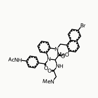 CNCC(=O)NC1C(=O)N(Cc2c(OC)ccc3cc(Br)ccc23)c2ccccc2N1C(=O)c1ccc(NC(C)=O)cc1